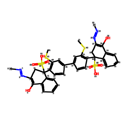 [H]/N=N/C1=C(O)c2ccccc2C(c2ccc(-c3ccc(C4(S(=O)(=O)O)CC(/N=N/[H])=C(O)c5ccccc54)c(SC)c3)cc2SC)(S(=O)(=O)O)C1